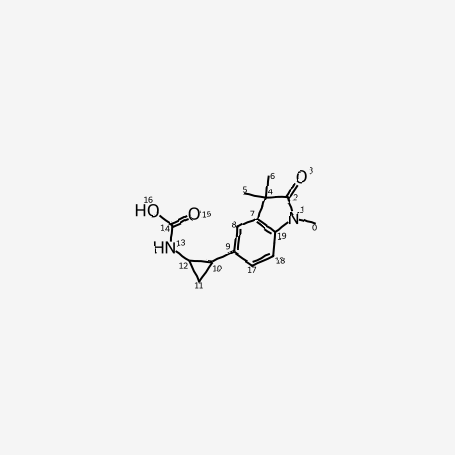 CN1C(=O)C(C)(C)c2cc(C3CC3NC(=O)O)ccc21